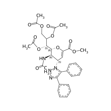 COC(=O)C1=C[C@H](n2nnc(-c3ccccc3)c2-c2ccccc2)[C@@H](NC(C)=O)[C@H]([C@H](OC(C)=O)C(COC(C)=O)OC(C)=O)O1